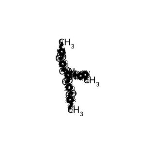 CCCc1ccc(OC(=O)[C@H]2CC[C@H](C(=O)Oc3ccc(OC(=O)[C@H]4CC[C@H](C(=O)Oc5ccc(CCC)cc5)CC4)c4nc(-c5ccc6c(C)cccc6c5)cnc34)CC2)cc1